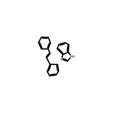 C(=C\c1ccccc1)/c1ccccc1.c1ccc2[nH]cnc2c1